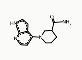 NC(=O)C1CCCN(c2ccnc3[nH]ccc23)C1